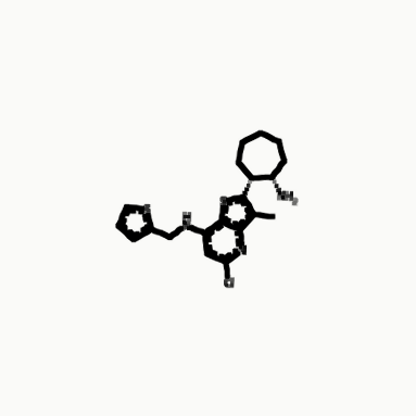 Cc1c([C@@H]2CCCCC[C@@H]2N)sc2c(NCc3cccs3)cc(Cl)nc12